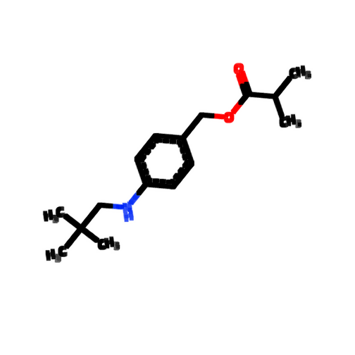 CC(C)C(=O)OCc1ccc(NCC(C)(C)C)cc1